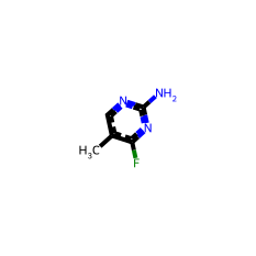 Cc1cnc(N)nc1F